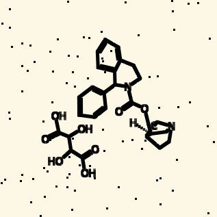 O=C(O)C(O)C(O)C(=O)O.O=C(O[C@H]1CN2CCC1CC2)N1CCc2ccccc2C1c1ccccc1